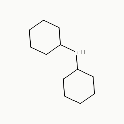 C1CC[CH]([InH][CH]2CCCCC2)CC1